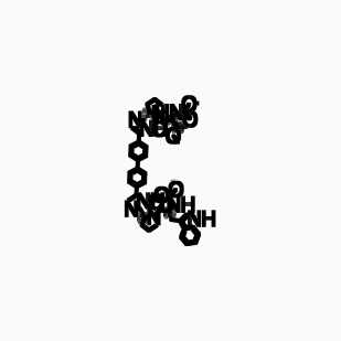 COC(=O)N[C@@H](Cc1c[nH]c2ccccc12)C(=O)N1CCC[C@H]1C1=NCC(c2ccc(-c3ccc(-c4cnc([C@@H]5CCCN5C(=O)[C@@H](NC(=O)OC)[C@@H](C)OC)[nH]4)cc3)cc2)N1